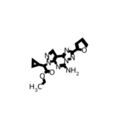 CCOC(=O)C(C1CC1)n1ncc2c1nc(N)n1nc(-c3ccco3)nc21